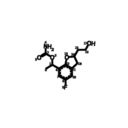 CC(OC(N)=O)c1cc(F)cc2c1OC(CCO)C2